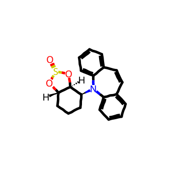 O=S1O[C@@H]2[C@H](CCC[C@@H]2N2c3ccccc3C=Cc3ccccc32)O1